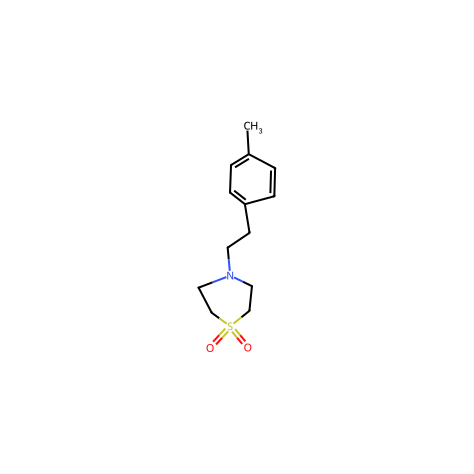 Cc1ccc(CCN2CCS(=O)(=O)CC2)cc1